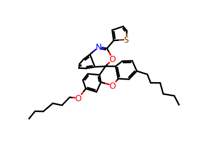 CCCCCCOc1ccc2c(c1)Oc1cc(CCCCCC)ccc1C21OC(c2cccs2)=Nc2ccccc21